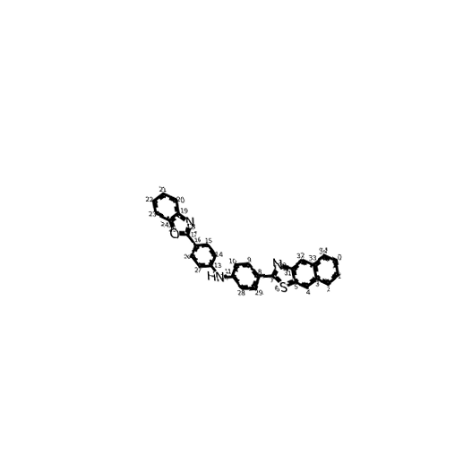 c1ccc2cc3sc(-c4ccc(Nc5ccc(-c6nc7ccccc7o6)cc5)cc4)nc3cc2c1